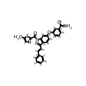 Cc1cnc(C(=O)n2nc(C=Cc3ccccc3)c3ccc(Oc4cccc(C(N)=O)c4)cc32)s1